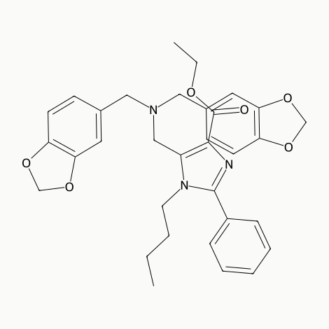 CCCCn1c(-c2ccccc2)nc(C(=O)OCC)c1CN(Cc1ccc2c(c1)OCO2)Cc1ccc2c(c1)OCO2